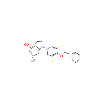 N#Cc1cc(O)c2cnn(-c3cc(F)c(OCc4ccccc4)c(F)c3)c2c1